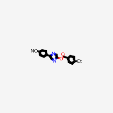 CCc1ccc(C(=O)Oc2cnc(-c3ccc(C#N)cc3)cn2)cc1